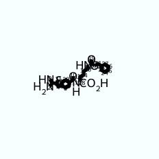 N=C(N)c1cc2ccc(C(=O)NC(CCCCNC(=O)OCc3ccccc3)C(=O)O)cc2s1